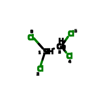 Cl[SiH](Cl)[GeH]([Cl])[Cl]